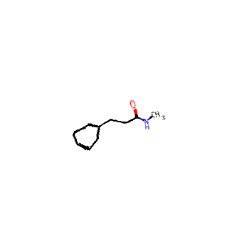 CNC(=O)CCC1CC=CCC1